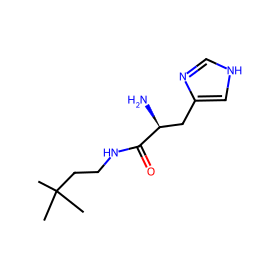 CC(C)(C)CCNC(=O)[C@@H](N)Cc1c[nH]cn1